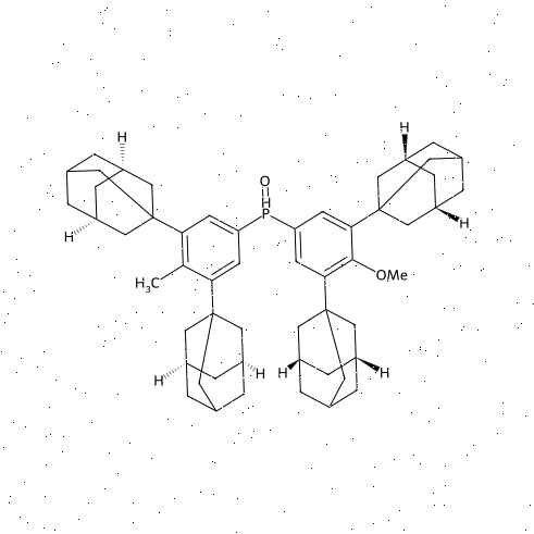 COc1c(C23CC4C[C@H](C2)C[C@@H](C4)C3)cc([PH](=O)c2cc(C34CC5C[C@H](C3)C[C@@H](C5)C4)c(C)c(C34CC5C[C@H](C3)C[C@@H](C5)C4)c2)cc1C12CC3C[C@H](C1)C[C@@H](C3)C2